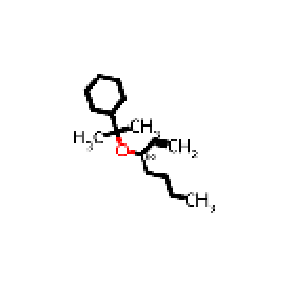 C=C[C@@H](CCCC)OC(C)(C)C1CCCCC1